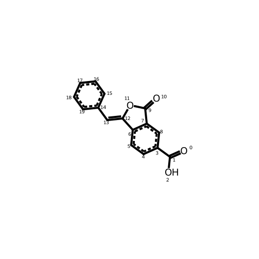 O=C(O)c1ccc2c(c1)C(=O)O/C2=C\c1ccccc1